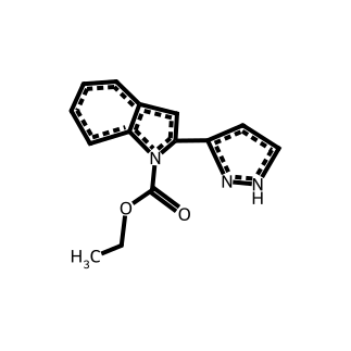 CCOC(=O)n1c(-c2cc[nH]n2)cc2ccccc21